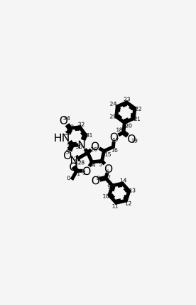 CC(=O)OC1C(OC(=O)c2ccccc2)C(COC(=O)c2ccccc2)OC1(C#N)n1ccc(=O)[nH]c1=O